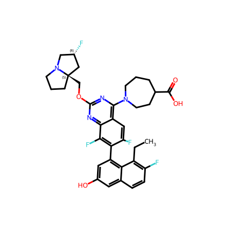 CCc1c(F)ccc2cc(O)cc(-c3c(F)cc4c(N5CCCC(C(=O)O)CC5)nc(OC[C@@]56CCCN5C[C@H](F)C6)nc4c3F)c12